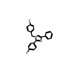 Fc1ccc(Cn2cc(-c3ccccc3)nc2-c2ccc(F)cc2)cc1